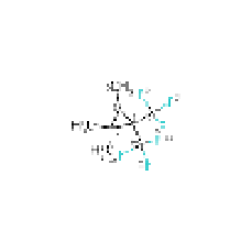 CC1C(C)(C)C1(C(F)(F)F)C(F)(F)F